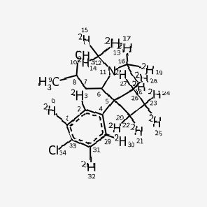 [2H]c1c([2H])c(C2(C(CC(C)C)N(C([2H])([2H])[2H])C([2H])([2H])[2H])C([2H])([2H])C([2H])([2H])C2([2H])[2H])c([2H])c([2H])c1Cl